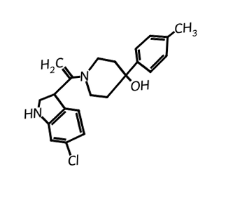 C=C(C1CNc2cc(Cl)ccc21)N1CCC(O)(c2ccc(C)cc2)CC1